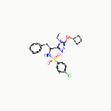 CCn1c(OC2CCC2)nnc1C(Cc1ccccc1)NS(=O)(=O)c1ccc(Cl)cc1